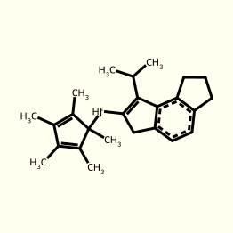 CC1=C(C)[C](C)([Hf][C]2=C(C(C)C)c3c(ccc4c3CCC4)C2)C(C)=C1C